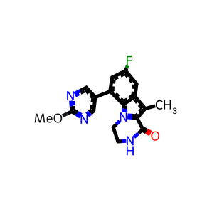 COc1ncc(-c2cc(F)cc3c(C)c4n(c23)CCNC4=O)cn1